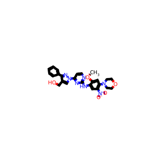 COc1cc(N2CCOCC2)c([N+](=O)[O-])cc1Nc1nccc(-n2cc(CO)c(-c3ccccc3)n2)n1